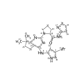 CC(C)c1cc(Nc2nc(N3CCCC3C(=O)Nc3nccs3)nc3c2CCC3(C)C)[nH]n1